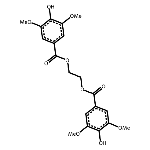 COc1cc(C(=O)OCCOC(=O)c2cc(OC)c(O)c(OC)c2)cc(OC)c1O